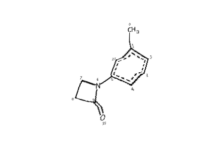 Cc1cccc(N2CCC2=O)c1